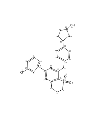 O=S1(=O)CCCc2nc(-c3cccc(Cl)c3)nc(Cc3ccc(C4CCB(O)O4)cc3)c21